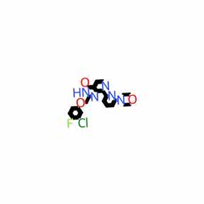 O=c1[nH]c(COc2ccc(F)c(Cl)c2)nc2c(-c3cccc(N4CCOCC4)n3)nccc12